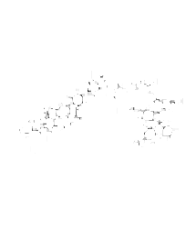 COC(=O)[C@H](CCC(=O)NCCSSC(C)CCC(=O)N1C[C@H](O)C[C@H]1COC(c1ccccc1)(c1ccc(OC)cc1)c1ccc(OC)cc1)NC(=O)c1ccc(N(Cc2cnc3nc(NC(=O)C(C)C)[nH]c(=O)c3n2)C(=O)C(F)(F)F)cc1